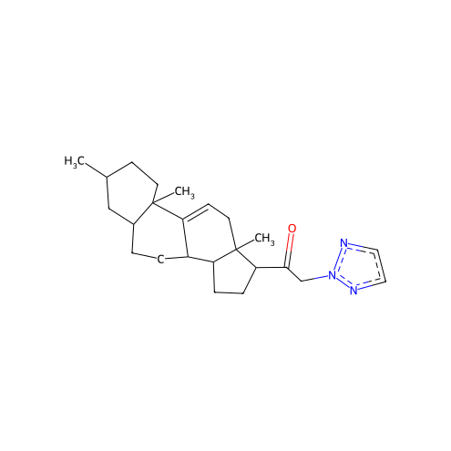 CC1CCC2(C)C3=CCC4(C)C(C(=O)Cn5nccn5)CCC4C3CCC2C1